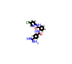 N=C(N)c1ccc(C(=O)Nc2ccccc2C(=O)Nc2ccc(Cl)cn2)cc1